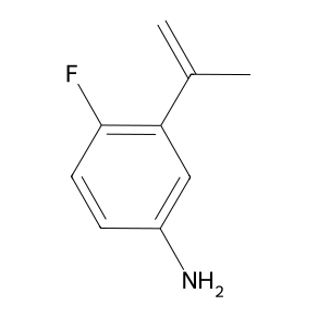 C=C(C)c1cc(N)ccc1F